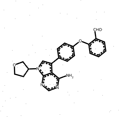 Nc1ncnc2c1c(-c1ccc(Oc3ccccc3C=O)cc1)cn2C1CCOC1